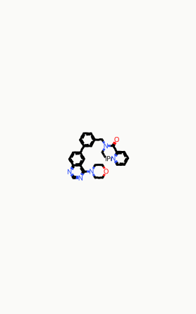 CC(C)CN(Cc1cccc(-c2ccc3ncnc(N4CCOCC4)c3c2)c1)C(=O)c1ccccn1